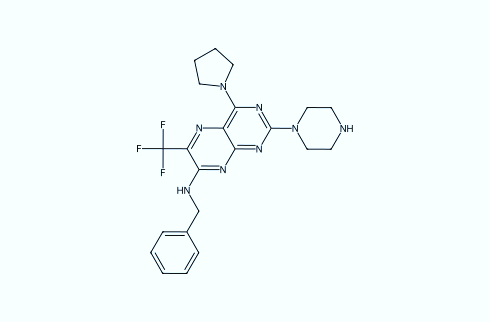 FC(F)(F)c1nc2c(N3CCCC3)nc(N3CCNCC3)nc2nc1NCc1ccccc1